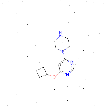 c1nc(OC2CCC2)cc(N2CCNCC2)n1